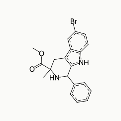 COC(=O)C1(C)Cc2c([nH]c3ccc(Br)cc23)C(c2ccccc2)N1